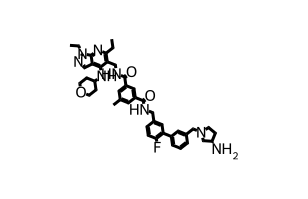 CCc1nc2c(cnn2CC)c(NC2CCOCC2)c1CNC(=O)c1cc(C)cc(C(=O)NCc2ccc(F)c(-c3cccc(CN4CC[C@H](N)C4)c3)c2)c1